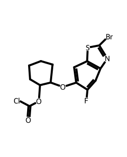 O=C(Cl)OC1CCCCC1Oc1cc2sc(Br)nc2cc1F